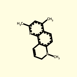 Cc1cc(C)c2ccc3c(c2n1)C=CCN3C